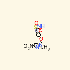 CN(CCOc1ccc(/C=C2/SC(=O)NC2=O)cc1)c1ccc([N+](=O)[O-])cn1